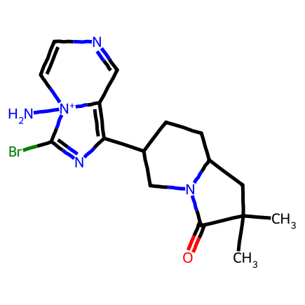 CC1(C)CC2CCC(C3=C4C=NC=C[N+]4(N)C(Br)=N3)CN2C1=O